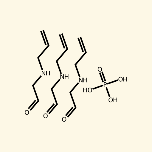 C=CCNCC=O.C=CCNCC=O.C=CCNCC=O.O=P(O)(O)O